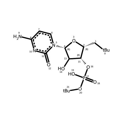 CC(C)(C)C[C@H]1O[C@@H](n2ccc(N)nc2=O)C(O)[C@H]1OP(=O)(O)OC(C)(C)C